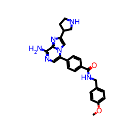 COc1ccc(CNC(=O)c2ccc(-c3cnc(N)c4nc(C5CCNC5)cn34)cc2)cc1